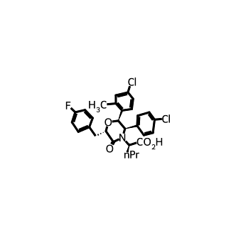 CCC[C@H](C(=O)O)N1C(=O)[C@H](Cc2ccc(F)cc2)O[C@@H](c2ccc(Cl)cc2C)[C@H]1c1ccc(Cl)cc1